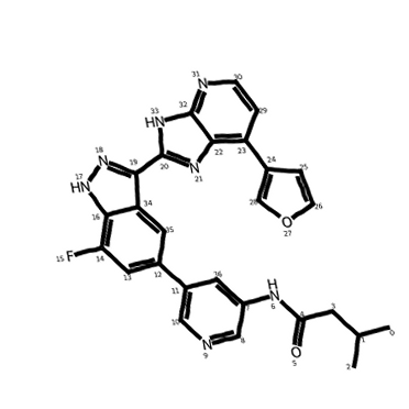 CC(C)CC(=O)Nc1cncc(-c2cc(F)c3[nH]nc(-c4nc5c(-c6ccoc6)ccnc5[nH]4)c3c2)c1